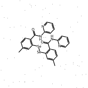 Cc1ccc(C(=O)Nc2ccccn2)c([Se][Se]c2cc(C)ccc2C(=O)Nc2ccccn2)c1